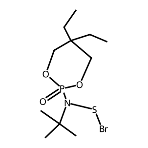 CCC1(CC)COP(=O)(N(SBr)C(C)(C)C)OC1